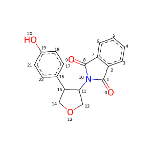 O=C1c2ccccc2C(=O)N1C1COCC1c1ccc(O)cc1